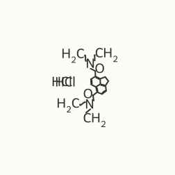 C=CCN(CC=C)CC(=O)c1ccc2c(C(=O)CN(CC=C)CC=C)ccc3c2c1CC3.Cl.Cl